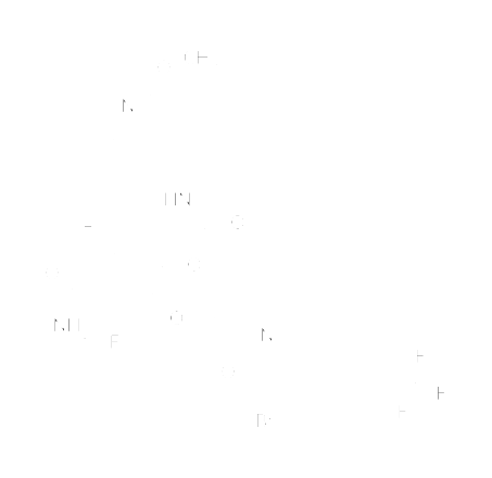 COc1cc(CNC(=O)OCC(Oc2ccc(F)c(C(N)=O)c2F)c2nc(-c3ccc(C(F)(F)F)cc3)c(Br)o2)ccn1